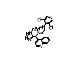 CCCCn1nnnc1C(c1ccnc2ccccc12)N1CCN(c2c(Cl)cncc2Cl)CC1